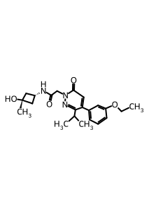 CCOc1cccc(-c2cc(=O)n(CC(=O)N[C@H]3C[C@@](C)(O)C3)nc2C(C)C)c1